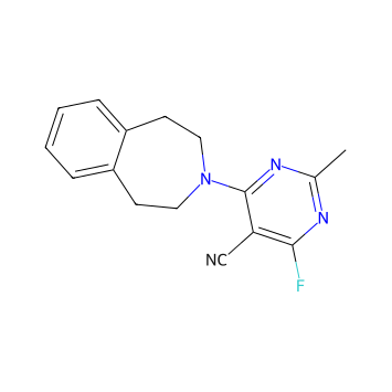 Cc1nc(F)c(C#N)c(N2CCc3ccccc3CC2)n1